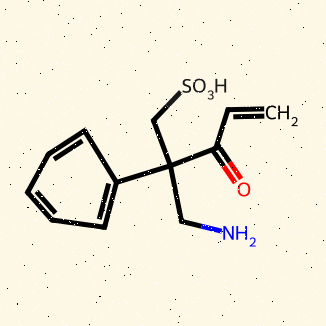 C=CC(=O)C(CN)(CS(=O)(=O)O)c1ccccc1